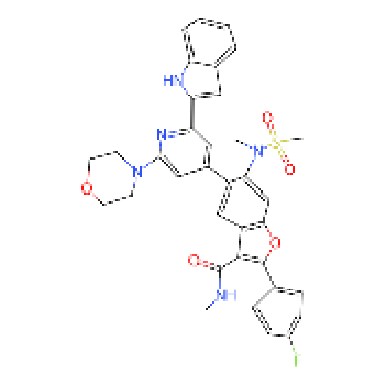 CNC(=O)c1c(-c2ccc(F)cc2)oc2cc(N(C)S(C)(=O)=O)c(-c3cc(-c4cc5ccccc5[nH]4)nc(N4CCOCC4)c3)cc12